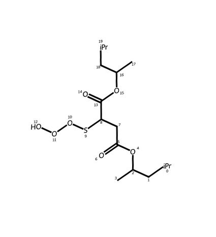 CC(C)CC(C)OC(=O)CC(SOOO)C(=O)OC(C)CC(C)C